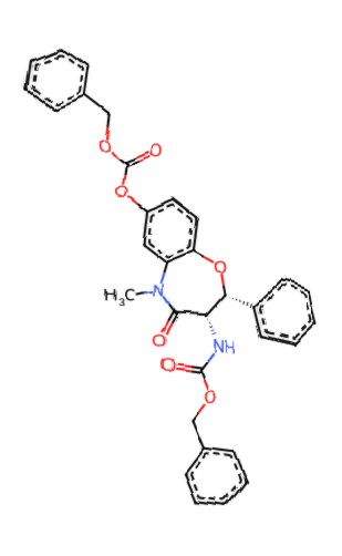 CN1C(=O)[C@@H](NC(=O)OCc2ccccc2)[C@@H](c2ccccc2)Oc2ccc(OC(=O)OCc3ccccc3)cc21